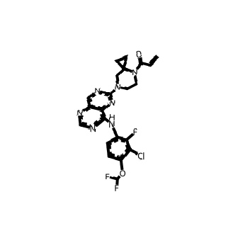 C=CC(=O)N1CCN(c2ncc3ncnc(Nc4ccc(OC(F)F)c(Cl)c4F)c3n2)CC12CC2